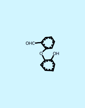 O=Cc1ccccc1Oc1ccccc1O